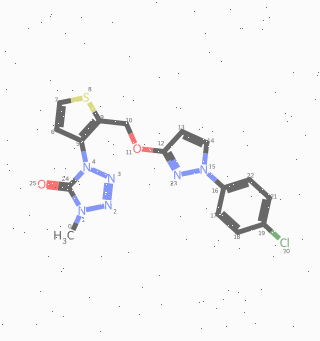 Cn1nnn(-c2ccsc2COc2ccn(-c3ccc(Cl)cc3)n2)c1=O